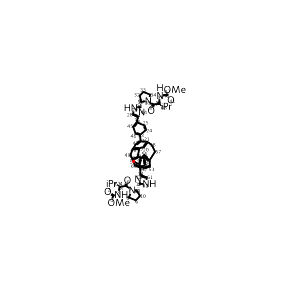 COC(=O)N[C@H](C(=O)N1CCC[C@H]1c1nc(-c2ccc(-c3cc4c(-c5ccc(-c6c[nH]c([C@@H]7CCCN7C(=O)[C@@H](NC(=O)OC)C(C)C)n6)cc5)cc3CCc3ccc(cc3)CC4)cc2)c[nH]1)C(C)C